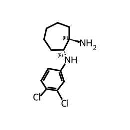 N[C@@H]1CCCCC[C@H]1Nc1ccc(Cl)c(Cl)c1